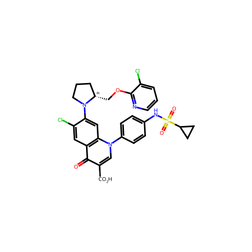 O=C(O)c1cn(-c2ccc(NS(=O)(=O)C3CC3)cc2)c2cc(N3CCC[C@@H]3COc3ncccc3Cl)c(Cl)cc2c1=O